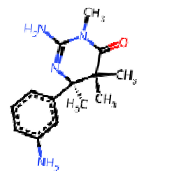 CN1C(=O)C(C)(C)[C@@](C)(c2cccc(N)c2)N=C1N